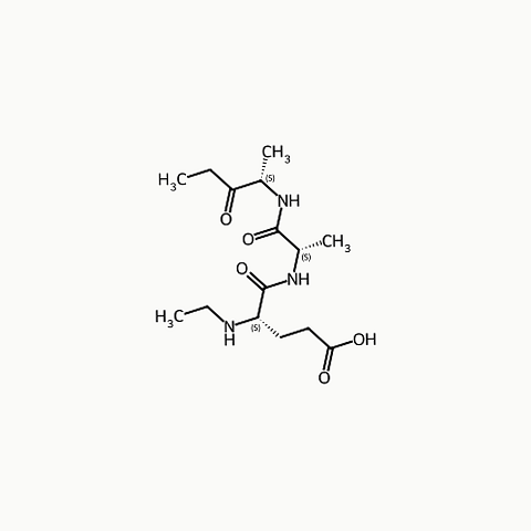 CCN[C@@H](CCC(=O)O)C(=O)N[C@@H](C)C(=O)N[C@@H](C)C(=O)CC